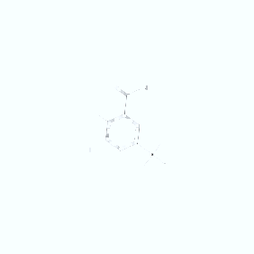 Br.NC(=O)c1cc(C(F)(F)F)ccc1F